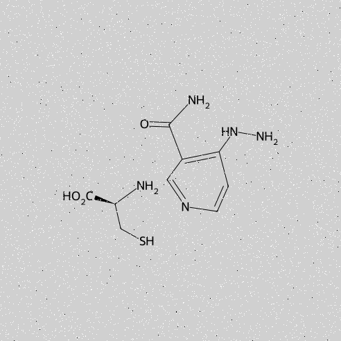 NNc1ccncc1C(N)=O.N[C@@H](CS)C(=O)O